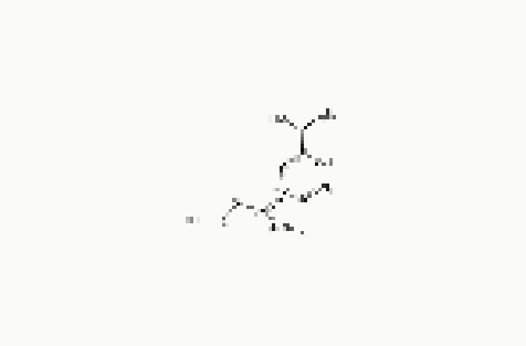 CC(C)(C)C(O)c1cnc2cnn(CCF)c2c1